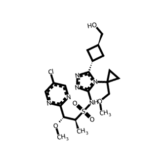 COCC1(n2c(NS(=O)(=O)[C@@H](C)[C@H](OC)c3ncc(Cl)cn3)nnc2[C@H]2C[C@H](CO)C2)CC1